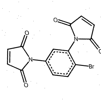 O=C1C=CC(=O)N1c1ccc(Br)c(N2C(=O)C=CC2=O)c1